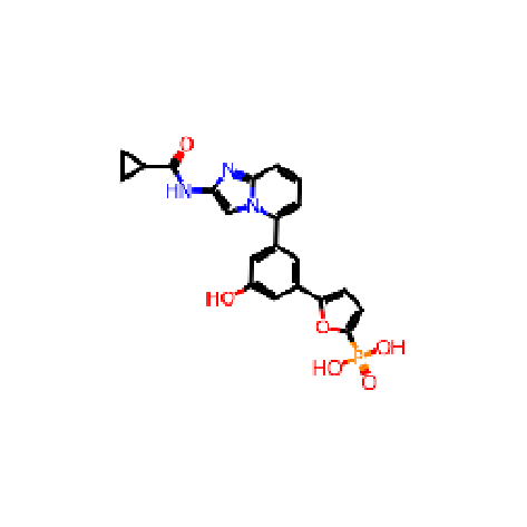 O=C(Nc1cn2c(-c3cc(O)cc(-c4ccc(P(=O)(O)O)o4)c3)cccc2n1)C1CC1